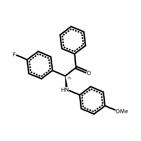 COc1ccc(N[C@H](C(=O)c2ccccc2)c2ccc(F)cc2)cc1